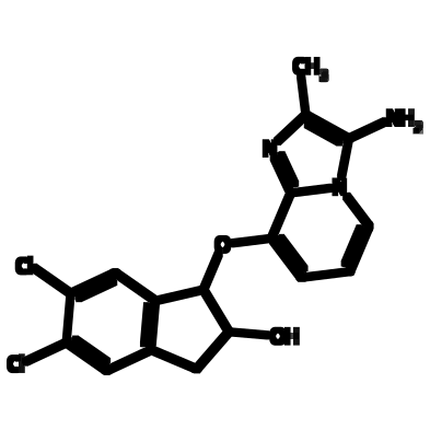 Cc1nc2c(OC3c4cc(Cl)c(Cl)cc4CC3O)cccn2c1N